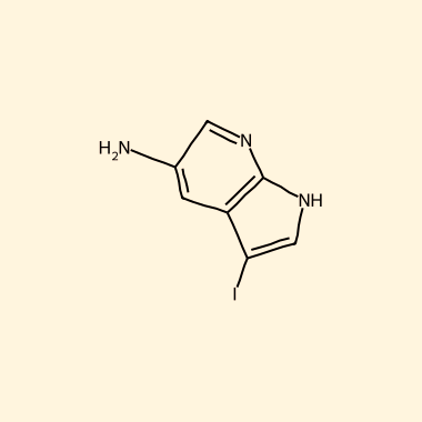 Nc1cnc2[nH]cc(I)c2c1